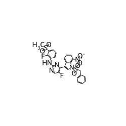 CS(=O)(=O)c1cccc(Nc2ncc(F)c(-c3cn(S(=O)(=O)Cc4ccccc4)c4c([N+](=O)[O-])cccc34)n2)c1F